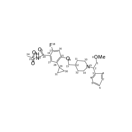 COCC(c1ccccc1)N1CCC(COc2cc(F)c(C(=O)NS(C)(=O)=O)cc2C2CC2)CC1